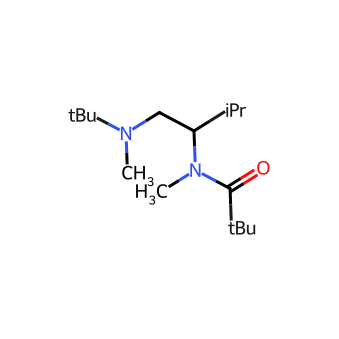 CC(C)C(CN(C)C(C)(C)C)N(C)C(=O)C(C)(C)C